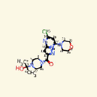 CC(C)(O)N1CCN(C(=O)c2cc3nc(Cl)cc(N4CCOCC4)n3n2)CC1